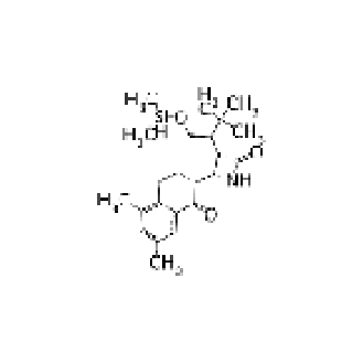 Cc1cc(C)c2c(c1)C(=O)[C@@H]([C@H]1NC(=O)[C@H]1[C@@H](CO[SiH](C)C)C(C)(C)C)CC2